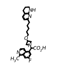 Cc1nccc2c(C(C(=O)O)N3CC(OCCCCCc4ccc5c(n4)NCCC5)C3)cc(F)cc12